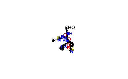 CC(C)c1nc(CN(C)C(=O)NC(CCNCCCC=O)C(=O)NC(CCC(Cc2ccccc2)NC(=O)OCc2cncs2)Cc2ccccc2)cs1